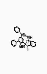 CCCCC(C)(Pc1ccccc1CNC(C)(C)C)c1cc(Cc2ccccc2)cc(-c2ccccc2)c1O